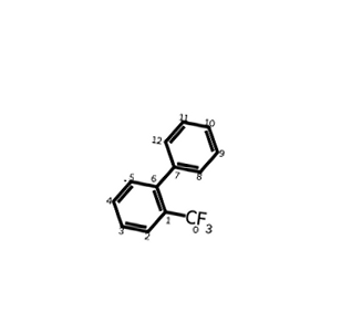 FC(F)(F)c1ccc[c]c1-c1ccccc1